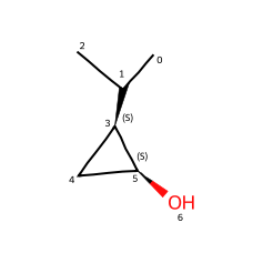 CC(C)[C@@H]1C[C@@H]1O